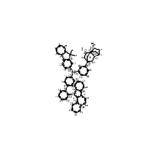 CC1(C)c2ccccc2-c2ccc(N(c3ccc(-c4ccccc4-n4c5ccccc5c5ccc6ccccc6c54)cc3)c3cccc(C45CC6C7C[C@@H](C4)C6[C@@H](C7)C5)c3)cc21